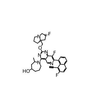 C#Cc1c(F)ccc2cccc(-c3ncc4c(N5CCCC(O)CC5C)nc(OC[C@@]56CCCN5C[C@H](F)C6)nc4c3F)c12